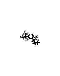 CCC(CC(C)C(O)(C(F)(F)F)C(F)(F)F)C1(C)C(C)(C)C(C)(C)OS1(=O)=O